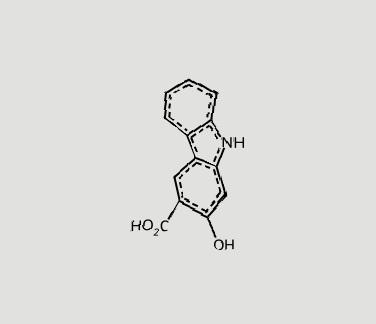 O=C(O)c1cc2c(cc1O)[nH]c1ccccc12